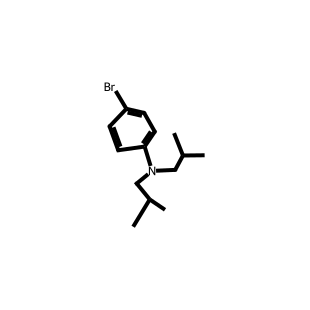 CC(C)CN(CC(C)C)c1ccc(Br)cc1